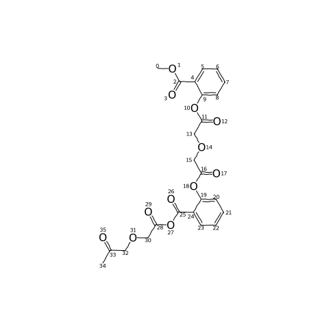 COC(=O)c1ccccc1OC(=O)COCC(=O)Oc1ccccc1C(=O)OC(=O)COCC(C)=O